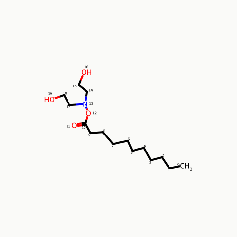 CCCCCCCCCCC(=O)ON(CCO)CCO